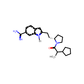 CCn1c(CC[C@@H]2CCCN2C(=O)C(C(=O)O)C2CCCC2)cc2ccc(C(=N)N)cc21